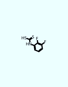 Fc1cccc(NC(=S)S)c1F